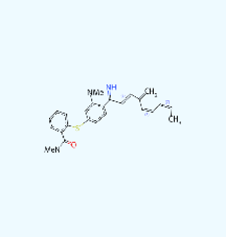 C=C(/C=C\C=C/C)/C=C/C(=N)c1ccc(Sc2ccccc2C(=O)NC)cc1NC